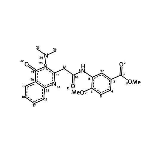 COC(=O)c1ccc(OC)c(NC(=O)Cc2nc3ccccc3c(=O)n2N(C)C)c1